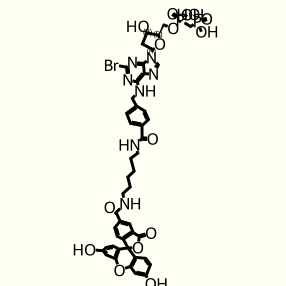 O=C(NCCCCCCNC(=O)c1ccc2c(c1)C(=O)OC21c2ccc(O)cc2Oc2cc(O)ccc21)c1ccc(CNc2nc(Br)nc3c2ncn3[C@H]2C[C@@H](O)[C@@H](COP(=O)(O)CP(=O)(O)O)O2)cc1